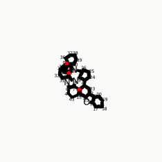 c1ccc(-c2nc3c(n2-c2c(-c4ccc5oc6ccccc6c5c4)cccc2-n2c4ccccc4c4ccccc42)CCCC3)cc1